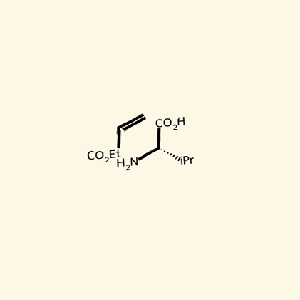 C=CC(=O)OCC.CC(C)[C@H](N)C(=O)O